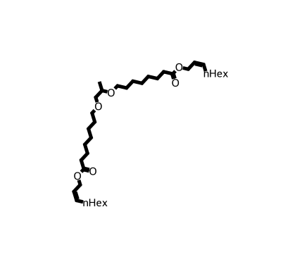 CCCCCC/C=C\COC(=O)CCCCCCCOCC(C)OCCCCCCCC(=O)OC/C=C\CCCCCC